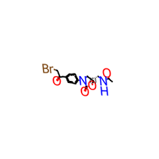 CC(=O)NC[C@H]1CN(c2ccc(C(=O)CBr)cc2)C(=O)O1